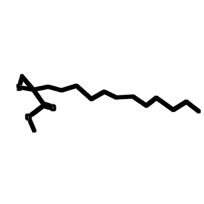 CCCCCCCCCCCCC1(C(=O)OC)CS1